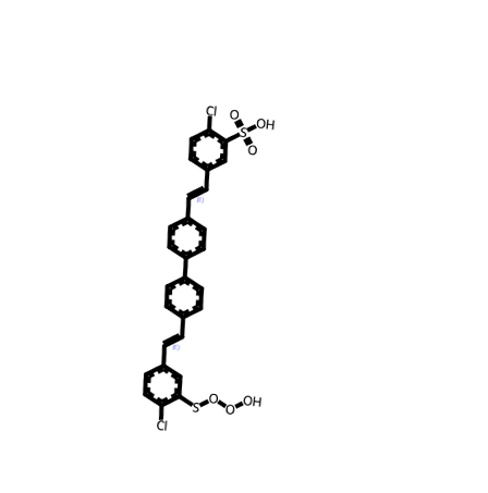 O=S(=O)(O)c1cc(/C=C/c2ccc(-c3ccc(/C=C/c4ccc(Cl)c(SOOO)c4)cc3)cc2)ccc1Cl